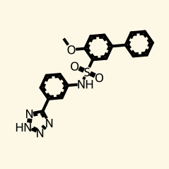 COc1ccc(-c2ccccc2)cc1S(=O)(=O)Nc1cccc(-c2nn[nH]n2)c1